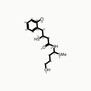 CSC(CCCO)NC(=O)CC(S)Cc1ccccc1Cl